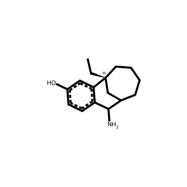 CC[C@@]12CCCCC(C1)C(N)c1ccc(O)cc12